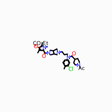 CCOC(=O)Oc1c(C)c(C(=O)N2CC3CN(CCCN(C(=O)C4CCN(C(C)=O)CC4)c4ccc(C)c(Cl)c4)CC3C2)n(C)c1C